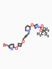 CC(C)(C)OC(=O)N1CC(OC2CCCN(CC#CCOC3CC(Oc4ccc(Br)cn4)C3)C2)C1